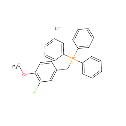 COc1ccc(C[P+](c2ccccc2)(c2ccccc2)c2ccccc2)cc1F.[Cl-]